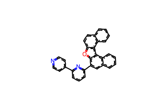 c1cc(-c2ccncc2)nc(-c2cc3ccccc3c3c2oc2ccc4ccccc4c23)c1